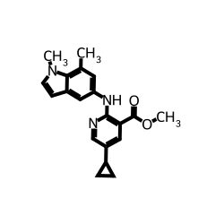 COC(=O)c1cc(C2CC2)cnc1Nc1cc(C)c2c(ccn2C)c1